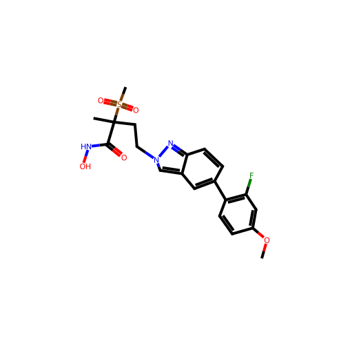 COc1ccc(-c2ccc3nn(CCC(C)(C(=O)NO)S(C)(=O)=O)cc3c2)c(F)c1